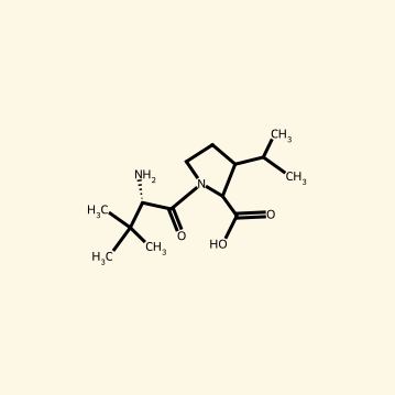 CC(C)C1CCN(C(=O)[C@@H](N)C(C)(C)C)C1C(=O)O